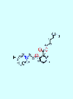 CCCCCOC(=O)c1ccccc1OCCN(CC)CC